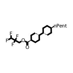 CCCCC[C@H]1CC[C@H]([C@H]2CC[C@H](C(=O)OCC(F)(F)C(F)F)CC2)CC1